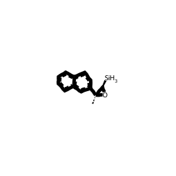 C[C@@]1(c2ccc3ccccc3c2)O[C@@H]1[SiH3]